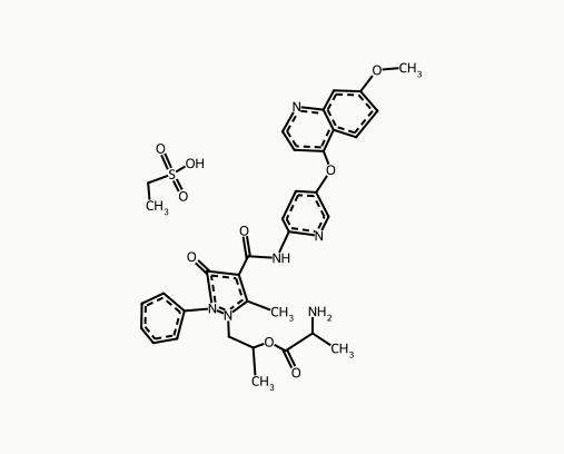 CCS(=O)(=O)O.COc1ccc2c(Oc3ccc(NC(=O)c4c(C)n(CC(C)OC(=O)C(C)N)n(-c5ccccc5)c4=O)nc3)ccnc2c1